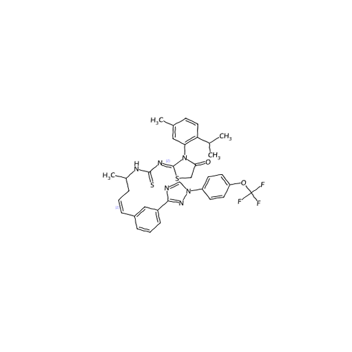 Cc1ccc(C(C)C)c(N2C(=O)CS/C2=N\C(=S)NC(C)C/C=C\c2cccc(-c3ncn(-c4ccc(OC(F)(F)F)cc4)n3)c2)c1